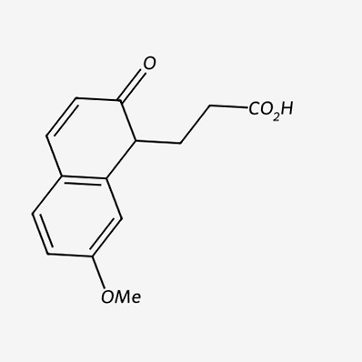 COc1ccc2c(c1)C(CCC(=O)O)C(=O)C=C2